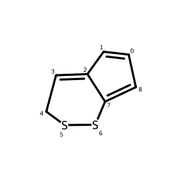 C1=CC2=CCSSC2=C1